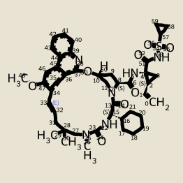 C=C[C@@H]1C[C@]1(NC(=O)[C@@H]1C[C@@H]2CN1C(=O)[C@H](C1CCCCC1)NC(=O)N(C)CC(C)(C)C/C=C/c1cc3c(nc4ccccc4c3cc1OC)O2)C(=O)NS(=O)(=O)C1CC1